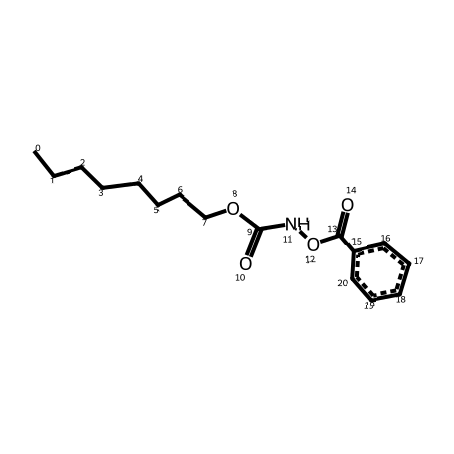 CCCCCCCCOC(=O)NOC(=O)c1ccccc1